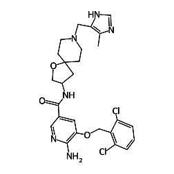 Cc1nc[nH]c1CN1CCC2(CC1)CC(NC(=O)c1cnc(N)c(OCc3c(Cl)cccc3Cl)c1)CO2